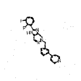 Fc1cccc(-c2nc3c([nH]2)C=NN(Cc2cccc(-c4ccncc4)c2)C3)c1F